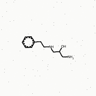 NCC(O)CNCCc1ccccc1